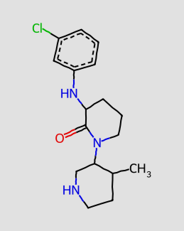 CC1CCNCC1N1CCCC(Nc2cccc(Cl)c2)C1=O